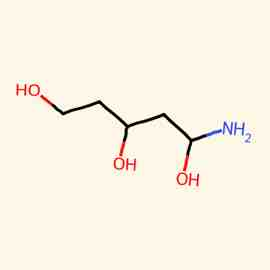 NC(O)CC(O)CCO